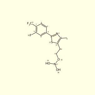 Cc1nc(-c2ccc(C(F)(F)F)c(F)c2)sc1CCON(O)O